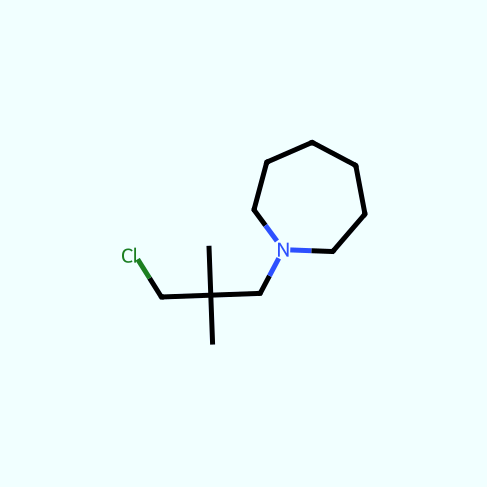 CC(C)(CCl)CN1CCCCCC1